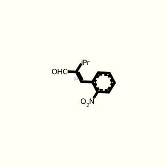 CC(C)/C(C=O)=C\c1ccccc1[N+](=O)[O-]